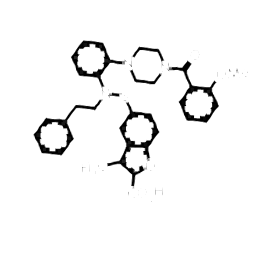 COc1ccccc1C(=O)N1CCN(c2ccccc2N(CCc2ccccc2)Sc2ccc3oc(C(=O)O)c(C)c3c2)CC1